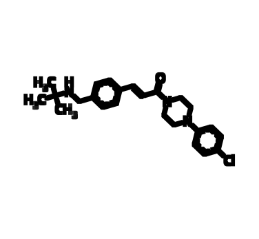 CC(C)(C)NCc1ccc(/C=C/C(=O)N2CCN(c3ccc(Cl)cc3)CC2)cc1